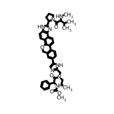 CCCN(Cc1ncc(-c2ccc3c(c2)COc2c-3ccc3c2ccc2[nH]c(C4CCCN4C(=O)C(NC)C(C)C)nc23)[nH]1)C(=O)C(NC(=O)OC)c1ccccc1